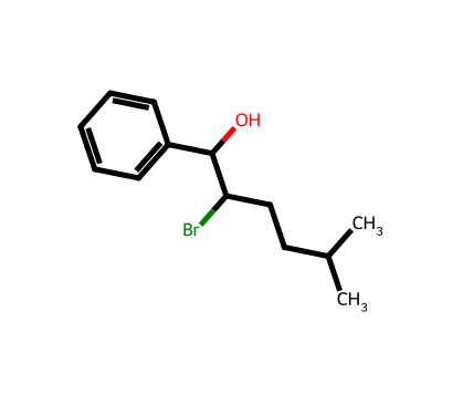 CC(C)CCC(Br)C(O)c1ccccc1